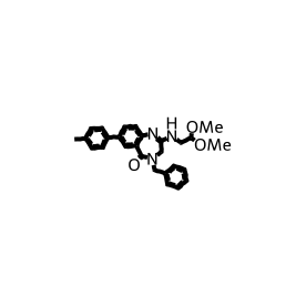 COC(CNC1=Nc2ccc(-c3ccc(C)cc3)cc2C(=O)N(Cc2ccccc2)C1)OC